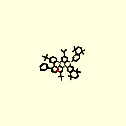 CC(C)c1cc2c3c(c1)N(c1ccc(C(C)(C)C)cc1-c1ccccc1-c1ccccc1)c1ccc(C(C)(C)C)cc1B3c1cc3c(cc1N2c1ccc2c(c1)C(C)(C)CCC2(C)C)C(C)(C)CCC3(C)C